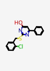 Oc1cc(-c2ccccc2)nc(SCc2ccccc2Cl)n1